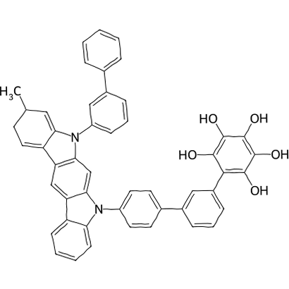 CC1C=c2c(c3cc4c5ccccc5n(-c5ccc(-c6cccc(-c7c(O)c(O)c(O)c(O)c7O)c6)cc5)c4cc3n2-c2cccc(-c3ccccc3)c2)=CC1